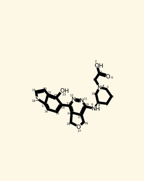 O=C(O)CN1CCC[C@@H](Nc2nnc(-c3ccc4sccc4c3O)c3c2COC3)C1